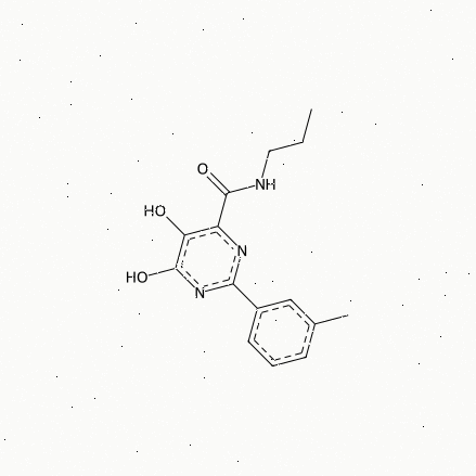 CCCNC(=O)c1nc(-c2cccc(C)c2)nc(O)c1O